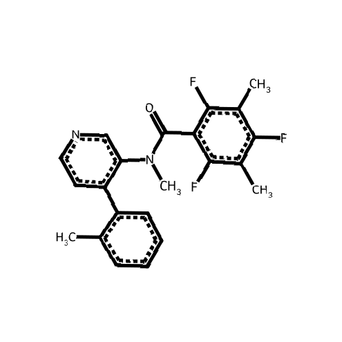 Cc1ccccc1-c1ccncc1N(C)C(=O)c1c(F)c(C)c(F)c(C)c1F